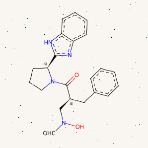 O=CN(O)C[C@H](Cc1ccccc1)C(=O)N1CCC[C@H]1c1nc2ccccc2[nH]1